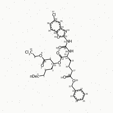 CCCCCCCCCCCCC[C@@H](CC(=O)OCC(Cl)(Cl)Cl)OC(=O)[C@H](CCCC(=O)OCc1ccccc1)NC(=O)Nc1nc2cc(Cl)ccc2o1